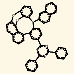 c1ccc(-c2nc(-c3ccccc3)nc(-c3ccc4c(c3)-c3cccc5ccc6c(c35)Oc3c(cccc3N4c3ccc4ccccc4c3)O6)n2)cc1